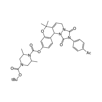 CC(=O)c1ccc(-n2c(=O)n3n(c2=O)C2C(=CC3)C(C)(C)Oc3cc(OC(=O)N4C(C)CN(C(=O)OC(C)(C)C)CC4C)ccc32)cc1